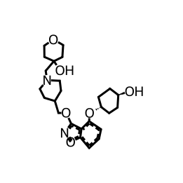 OC1(CN2CCC(COc3noc4cccc(O[C@H]5CC[C@H](O)CC5)c34)CC2)CCOCC1